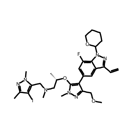 C=Cc1nn(C2CCCCO2)c2c(F)cc(-c3c(COC)nn(C)c3O[C@@H](C)CN(C)Cc3c(I)c(C)nn3C)cc12